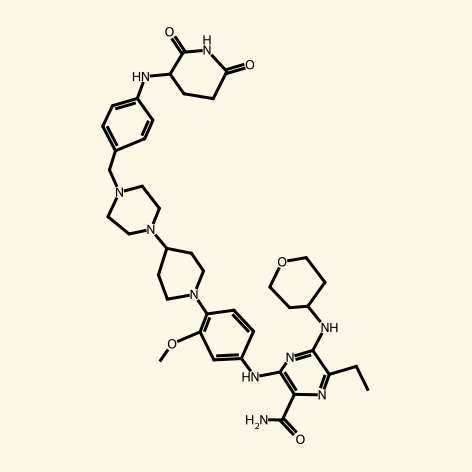 CCc1nc(C(N)=O)c(Nc2ccc(N3CCC(N4CCN(Cc5ccc(NC6CCC(=O)NC6=O)cc5)CC4)CC3)c(OC)c2)nc1NC1CCOCC1